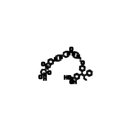 CC/C(=C(/c1ccc(OCCN2CCN(C(=O)N3CCC(N4CCN(c5ccc6c(c5)CN(C5CCC(=O)NC5=O)C6=O)CC4)CC3)CC2)cc1)c1ccc(B(O)O)cc1)c1ccccc1